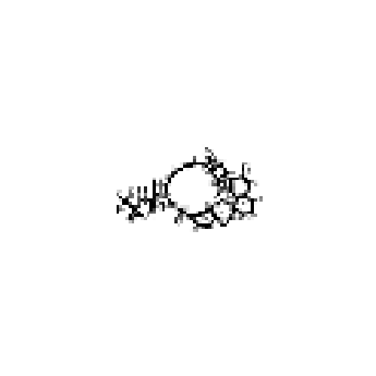 CO[C@H]1/C=C/CCC[S@@](=O)(NC(=O)NC2(C(F)(F)F)CC2)=NC(=O)c2ccc3c(c2)N(C[C@@H]2CC[C@H]21)C[C@@]1(CCCc2cc(Cl)ccc21)CO3